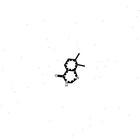 Cc1ccc2c(=O)[nH]cnc2c1C